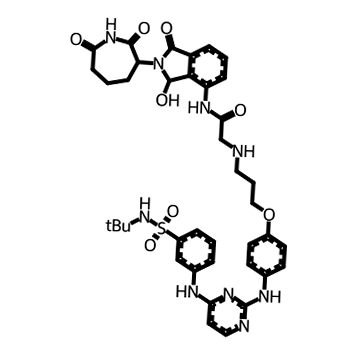 CC(C)(C)NS(=O)(=O)c1cccc(Nc2ccnc(Nc3ccc(OCCCNCC(=O)Nc4cccc5c4C(O)N(C4CCCC(=O)NC4=O)C5=O)cc3)n2)c1